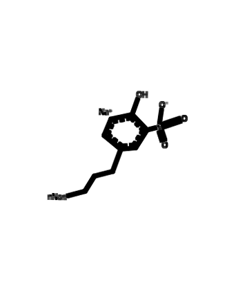 CCCCCCCCCCCCc1ccc(O)c(S(=O)(=O)[O-])c1.[Na+]